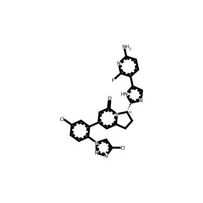 Nc1ccc(-c2cnc([C@@H]3CCc4cc(-c5cc(Cl)ccc5-n5cc(Cl)nn5)cc(=O)n43)[nH]2)c(F)n1